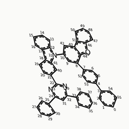 c1ccc(-c2ccc(-c3cc(-n4c5ccccc5c5ccc(-c6nc(-c7ccccc7)cc(-c7ccccc7)n6)cc54)cc4c3oc3ccccc34)cc2)cc1